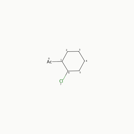 CC(=O)C1CCCCC1Cl